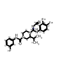 CC(C)C1CN(C(=O)Nc2cccc(F)c2)CCN1/C(=N/C#N)Nc1ccc(F)c(F)c1